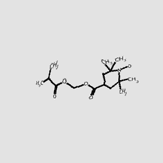 CC(C)C(=O)OCOC(=O)C1CC(C)(C)N([O])C(C)(C)C1